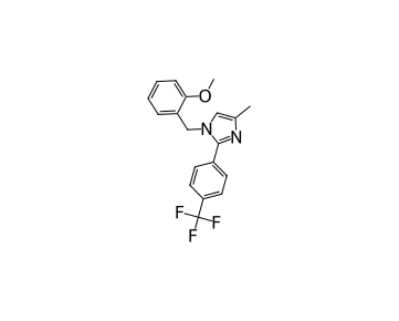 COc1ccccc1Cn1cc(C)nc1-c1ccc(C(F)(F)F)cc1